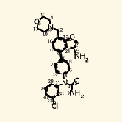 NC(=O)N(c1ccc(-c2ccc(CN3CCOCC3)c3onc(N)c23)cc1)c1cccc(Cl)c1